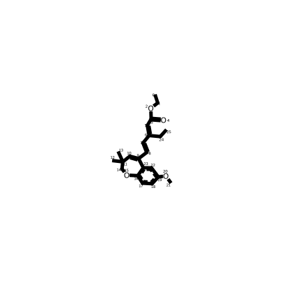 CCOC(=O)/C=C(/C=C/C1=CC(C)(C)COc2ccc(OC)cc21)CC